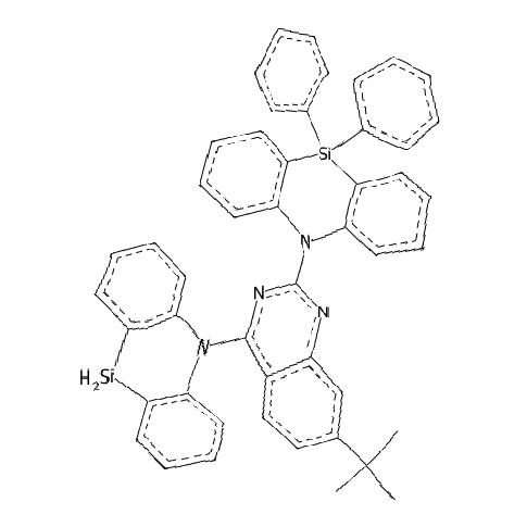 CC(C)(C)c1ccc2c(N3c4ccccc4[SiH2]c4ccccc43)nc(N3c4ccccc4[Si](c4ccccc4)(c4ccccc4)c4ccccc43)nc2c1